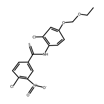 CCOCOc1ccc(NC(=S)c2ccc(Cl)c([N+](=O)[O-])c2)c(Cl)c1